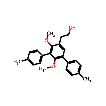 COc1c(CCO)[c]c(-c2ccc(C)cc2)c(OC)c1-c1ccc(C)cc1